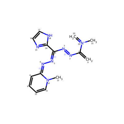 C=C(/N=N/C(=N/N=c1/ccccn1C)c1ncc[nH]1)[N+](=C)C